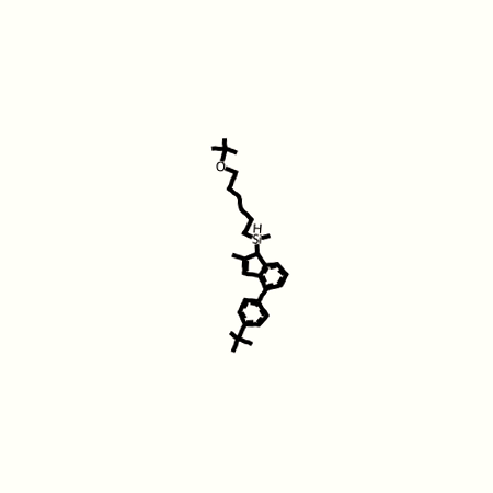 CC1=Cc2c(-c3ccc(C(C)(C)C)cc3)cccc2C1[SiH](C)CCCCCCOC(C)(C)C